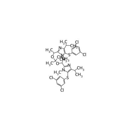 CC(C)c1nc(C(C)OC(C)(C)OC(C)c2nc(C(C)C)c(Sc3cc(Cl)cc(Cl)c3)n2C)n(C)c1Sc1cc(Cl)cc(Cl)c1